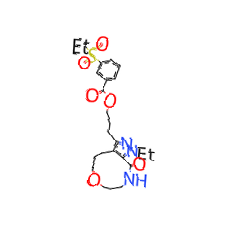 CCn1nc(CCCOC(=O)c2cccc(S(=O)(=O)CC)c2)c2c1C(=O)NCCCOCCC2